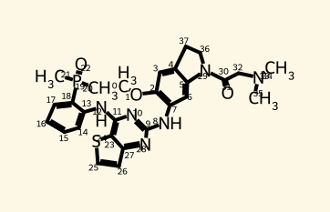 COc1cc2c(cc1Nc1nc(Nc3ccccc3P(C)(C)=O)c3sccc3n1)N(C(=O)CN(C)C)CC2